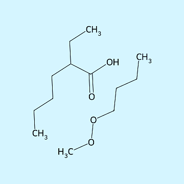 CCCCC(CC)C(=O)O.CCCCOOC